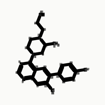 CC1CN(c2ncnc3cc(Cl)c(-c4ccc(Cl)cc4)cc23)CCN1CCO